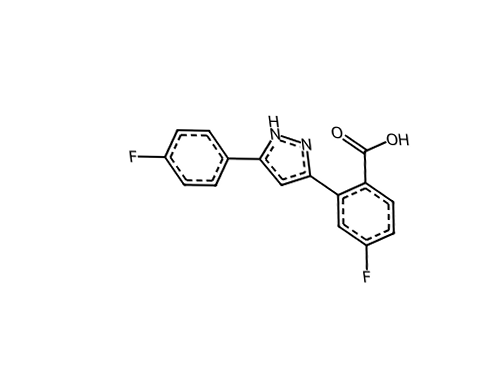 O=C(O)c1ccc(F)cc1-c1cc(-c2ccc(F)cc2)[nH]n1